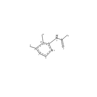 CC(=O)Nc1nccc(C)c1C